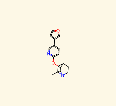 CC1C(Oc2ccc(-c3ccoc3)cn2)C2CCN1CC2